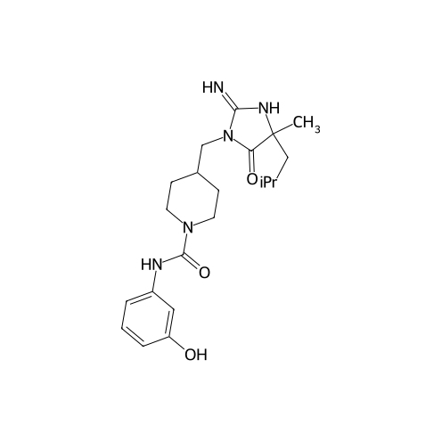 CC(C)CC1(C)NC(=N)N(CC2CCN(C(=O)Nc3cccc(O)c3)CC2)C1=O